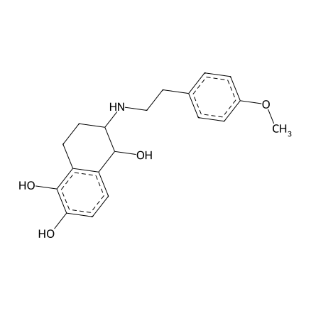 COc1ccc(CCNC2CCc3c(ccc(O)c3O)C2O)cc1